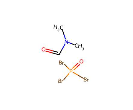 CN(C)C=O.O=P(Br)(Br)Br